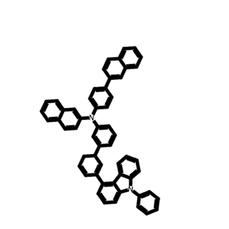 C1=CC(c2cccc3c2c2ccccc2n3-c2ccccc2)=CC(c2cccc(N(c3ccc(-c4ccc5ccccc5c4)cc3)c3ccc4ccccc4c3)c2)C1